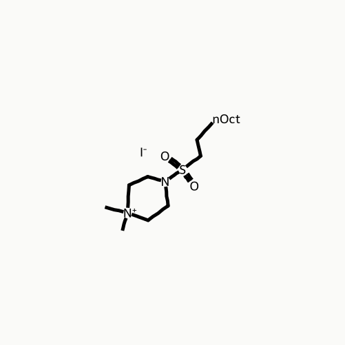 CCCCCCCCCCS(=O)(=O)N1CC[N+](C)(C)CC1.[I-]